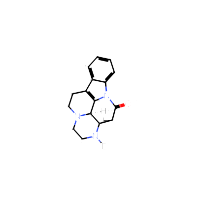 CCN1CCN2CCc3c4n(c5ccccc35)C(=O)C[C@@H]1[C@H]42